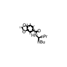 CCCCC(CCC)NC(=O)c1ccc2c(c1)OCO2